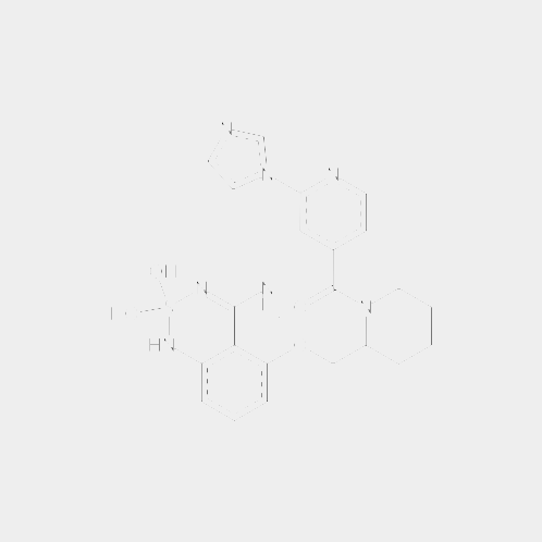 NC1=NS(O)(O)Nc2cccc(OCC3CCCCN3C(=O)c3ccnc(-n4ccnc4)c3)c21